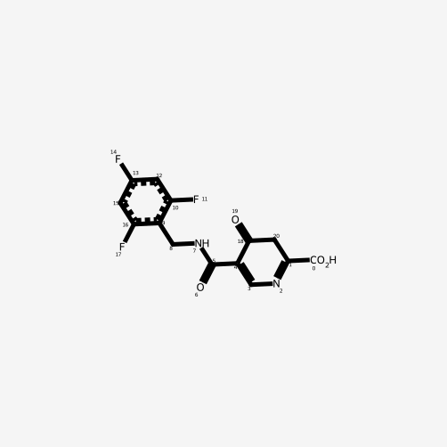 O=C(O)C1=NC=C(C(=O)NCc2c(F)cc(F)cc2F)C(=O)C1